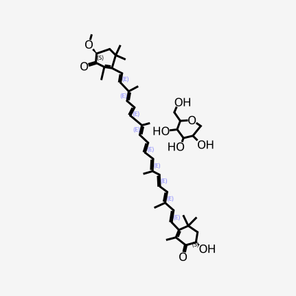 CO[C@H]1CC(C)(C)C(/C=C/C(C)=C/C=C/C(C)=C/C=C/C=C(C)/C=C/C=C(C)/C=C/C2=C(C)C(=O)[C@@H](O)CC2(C)C)=C(C)C1=O.OCC1OCC(O)C(O)C1O